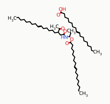 CCCCCCCCC=CCCCCCCCC(=O)O.CCCCCCCCC=CCCCCCCCC(=O)OC(CC)NC(=O)CC(CCCCCC=CCCCCCCCC)C(C)=O